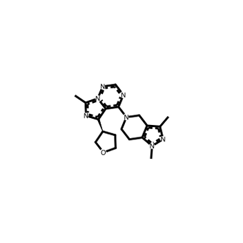 Cc1nn(C)c2c1CN(c1ncnn3c(C)nc([C@H]4CCOC4)c13)CC2